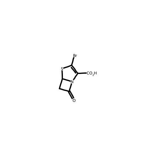 O=C(O)C1=C(Br)SC2CC(=O)N12